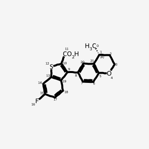 C[C@@H]1CCOc2ccc(-c3c(C(=O)O)sc4cc(F)ccc34)cc21